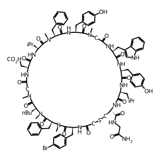 CCCC[C@H]1C(=O)N(C)CC(=O)N[C@@H](CC(=O)O)C(=O)N[C@@H](C(C)C)C(=O)N(C)[C@@H](Cc2ccccc2)C(=O)N[C@@H](Cc2ccc(O)cc2)C(=O)N(C)CC(=O)N[C@@H](Cc2c[nH]c3ccccc23)C(=O)N[C@@H](Cc2ccc(O)cc2)C(=O)N[C@@H](CC(C)C)C(=O)N[C@H](C(=O)NCC(N)=O)CSCC(=O)N[C@@H](Cc2ccc(Br)cc2)C(=O)N(C)[C@@H](Cc2ccccc2)C(=O)N1C